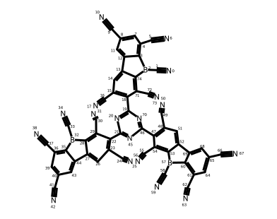 N#CB1c2c(C#N)cc(C#N)cc2-c2cc(C#N)c(-c3nc(-c4c(C#N)cc5c(c4C#N)B(C#N)c4c(C#N)cc(C#N)cc4-5)nc(-c4c(C#N)cc5c(c4C#N)B(C#N)c4c(C#N)cc(C#N)cc4-5)n3)c(C#N)c21